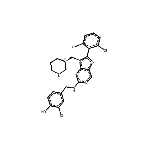 Oc1ccc(CNc2ncc3nc(-c4c(Cl)cccc4Cl)n(C[C@@H]4CCCNC4)c3n2)cc1Cl